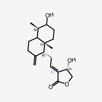 C=C1CCC2[C@@H](C)C(O)CC[C@]2(C)[C@@H]1C/C=C1/C(=O)OC[C@H]1O